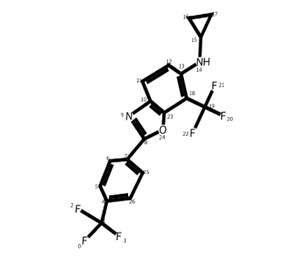 FC(F)(F)c1ccc(-c2nc3ccc(NC4CC4)c(C(F)(F)F)c3o2)cc1